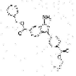 CCOC(=O)c1ccc(-n2cc(N)c3cc(C(=O)OCc4ccccc4)ccc32)cc1